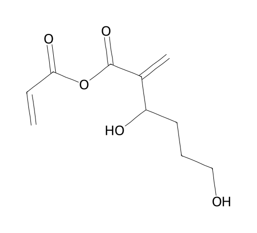 C=CC(=O)OC(=O)C(=C)C(O)CCCO